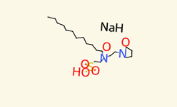 CCCCCCCCCCCC(=O)N(CCN1CCCC1=O)CCS(=O)(=O)O.[NaH]